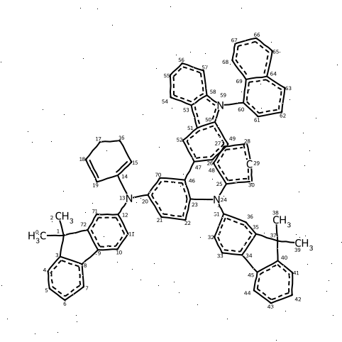 CC1(C)c2ccccc2-c2ccc(N(C3=CCCC=C3)c3ccc(N(c4ccccc4)c4ccc5c(c4)C(C)(C)c4ccccc4-5)c(-c4ccc5c(c4)c4ccccc4n5-c4cccc5ccccc45)c3)cc21